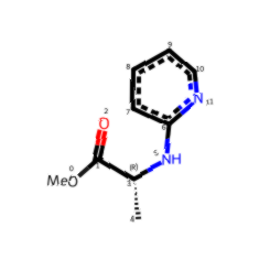 COC(=O)[C@@H](C)Nc1ccccn1